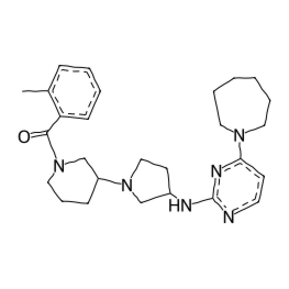 Cc1ccccc1C(=O)N1CCCC(N2CCC(Nc3nccc(N4CCCCCC4)n3)C2)C1